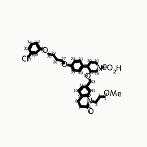 COCCCN1C(=O)CCc2ccc(COC3CN(C(=O)O)CCC3c3ccc(OCCCCOc4cccc(Cl)c4)cc3)cc21